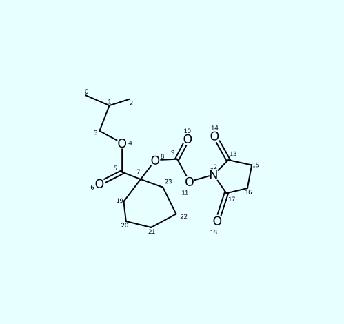 CC(C)COC(=O)C1(OC(=O)ON2C(=O)CCC2=O)CCCCC1